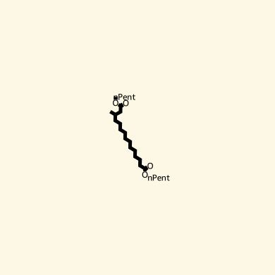 CCCCCOC(=O)CCCCCCCCCCCC(C)CC(=O)OCCCCC